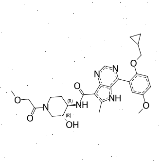 COCC(=O)N1CC[C@@H](NC(=O)c2c(C)[nH]c3c(-c4cc(OC)ccc4OCC4CC4)ncnc23)[C@H](O)C1